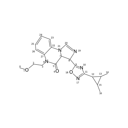 COCCN1C(=O)C2C(c3nc(C4C(C)C4C)no3)N=CN2c2ccccc21